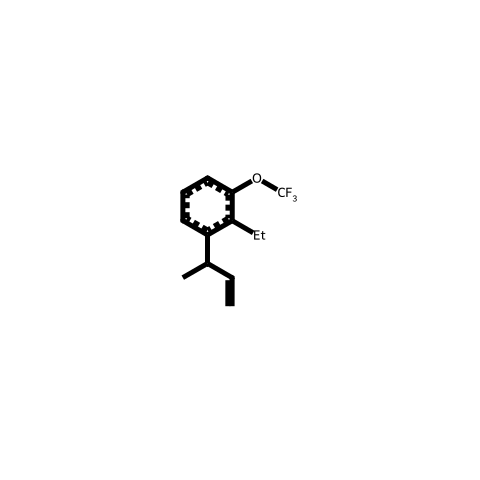 C=C[C](C)c1cccc(OC(F)(F)F)c1CC